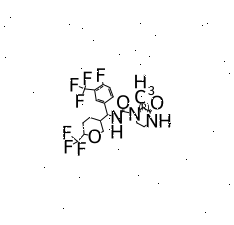 C[C@@H]1C(=O)NCCN1C(=O)NC(c1ccc(F)c(C(F)(F)F)c1)C1CCC(C(F)(F)F)OC1